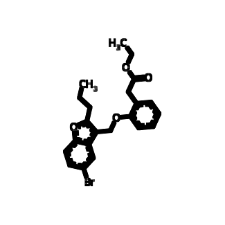 CCCc1oc2ccc(Br)cc2c1COc1ccccc1CC(=O)OCC